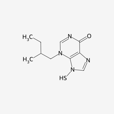 CCC(C)Cn1cnc(=O)c2ncn(S)c21